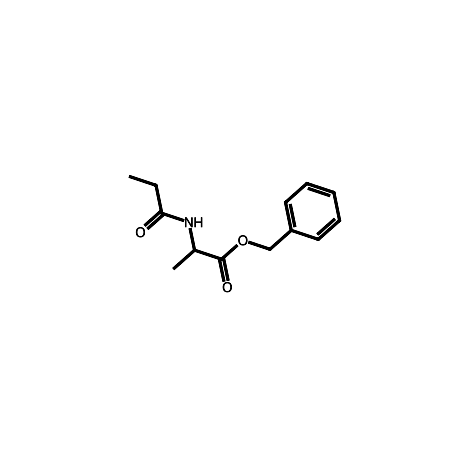 CCC(=O)NC(C)C(=O)OCc1ccccc1